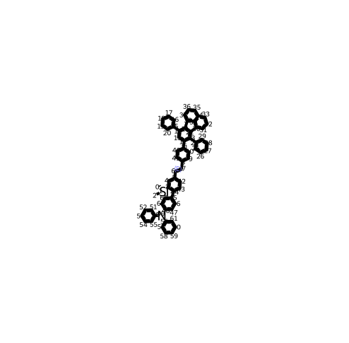 C[Si]1(C)c2cc(/C=C/c3ccc(-c4cc(-c5ccccc5)c5c(c4-c4ccccc4)-c4cccc6cccc-5c46)cc3)ccc2-c2ccc(N(c3ccccc3)c3ccccc3)cc21